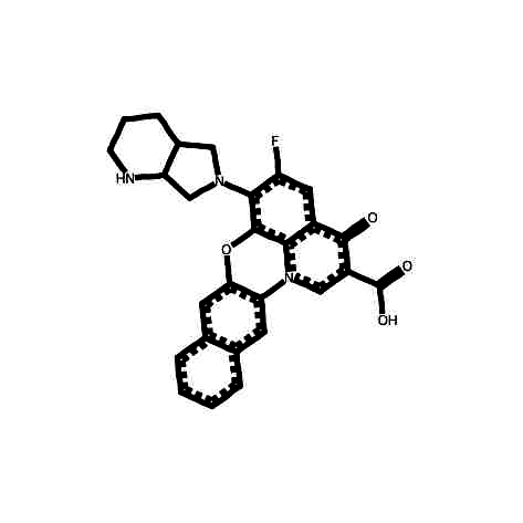 O=C(O)c1cn2c3c(c(N4CC5CCCNC5C4)c(F)cc3c1=O)Oc1cc3ccccc3cc1-2